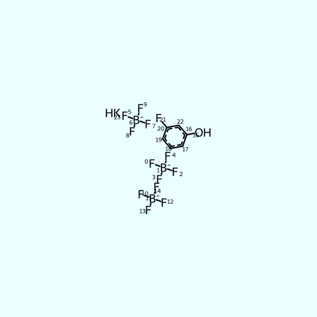 F[B-](F)(F)F.F[B-](F)(F)F.F[B-](F)(F)F.Oc1cccc(F)c1.[KH]